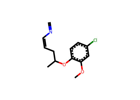 C=N/C=C\CC(C)Oc1ccc(Cl)cc1OC